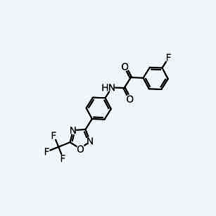 O=C(Nc1ccc(-c2noc(C(F)(F)F)n2)cc1)C(=O)c1cccc(F)c1